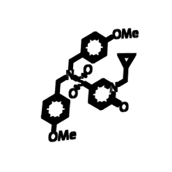 COc1ccc(CN(Cc2ccc(OC)cc2)S(=O)(=O)c2ccc(=O)n(CC3CC3)c2)cc1